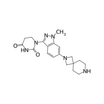 Cn1nc(N2CCC(=O)NC2=O)c2ccc(N3CC4(CCNCC4)C3)cc21